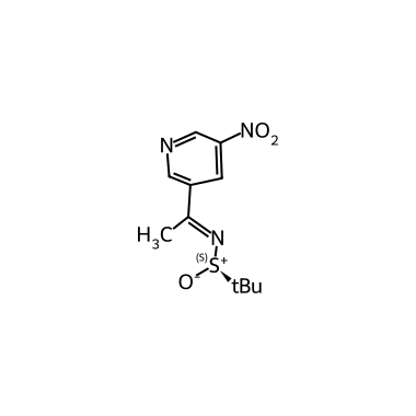 CC(=N[S@+]([O-])C(C)(C)C)c1cncc([N+](=O)[O-])c1